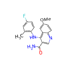 COc1ccc2ncc(C(N)=O)c(Nc3ccc(F)cc3C)c2c1